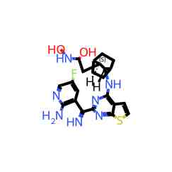 N=C(c1nc(N[C@H]2C3CCC(CC3)[C@@H]2CC(O)NO)c2ccsc2n1)c1cc(F)cnc1N